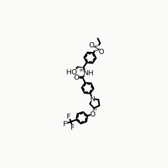 CCS(=O)(=O)c1ccc([C@H](CO)NC(=O)c2ccc(N3CC[C@H](Oc4ccc(C(F)(F)F)cc4)C3)cc2)cc1